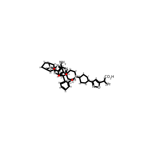 CC(C)C(C(=O)O)c1cc(C2CCC(N3CCC(c4cnc(N5C6CCC5CN(c5cc(-c7ccccc7O)nnc5N)C6)nc4)CC3)CC2)no1